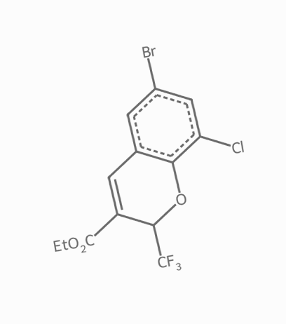 CCOC(=O)C1=Cc2cc(Br)cc(Cl)c2OC1C(F)(F)F